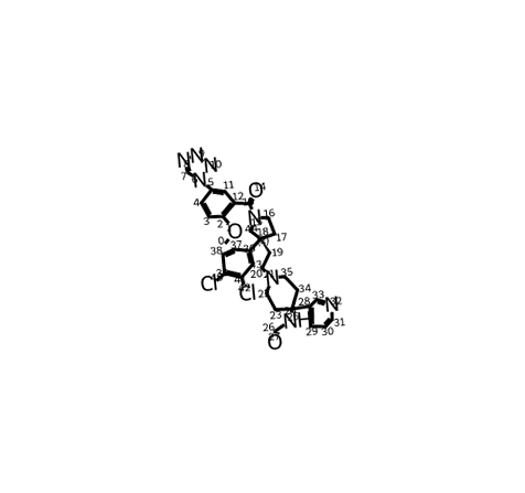 COc1ccc(-n2cnnn2)cc1C(=O)N1CC[C@](CCN2CCC(NC=O)(c3cccnc3)CC2)(c2ccc(Cl)c(Cl)c2)C1